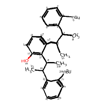 CCCCc1ccccc1C(C)C(C)c1cccc(O)c1C(C)C(C)c1ccccc1CCCC